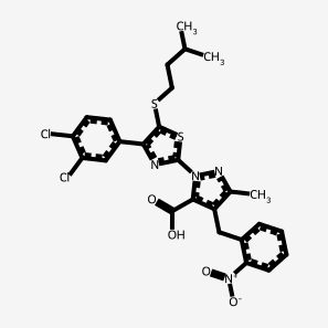 Cc1nn(-c2nc(-c3ccc(Cl)c(Cl)c3)c(SCCC(C)C)s2)c(C(=O)O)c1Cc1ccccc1[N+](=O)[O-]